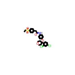 CCS(=O)(=O)c1ccc(CC(=O)Nc2ccc(OC3(c4ccc(Cl)cc4Cl)CCOCC3)cc2)cc1